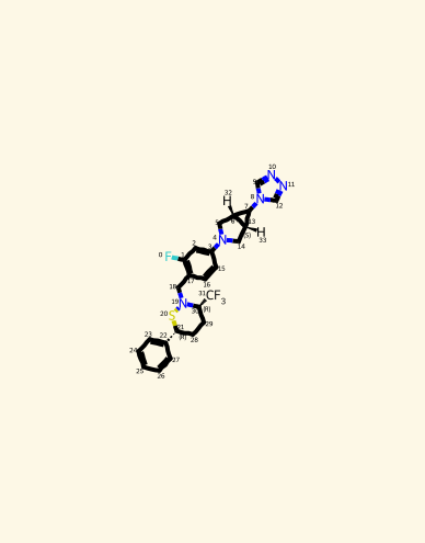 Fc1cc(N2C[C@@H]3C(n4cnnc4)[C@@H]3C2)ccc1CN1S[C@@H](c2ccccc2)CC[C@@H]1C(F)(F)F